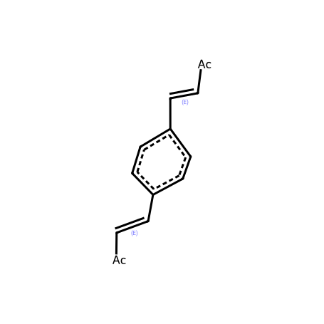 CC(=O)/C=C/c1ccc(/C=C/C(C)=O)cc1